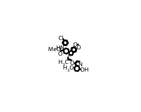 COC(=O)C1(Nc2cccc(Cl)c2)CCC2(CC1)c1cc3c(cc1C[C@@H]2C[C@@H](C)COc1ccnc2c1[C@H](C)CC[C@H]2O)OCO3